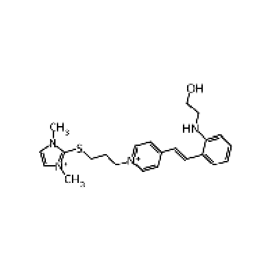 Cn1cc[n+](C)c1SCCC[n+]1ccc(/C=C/c2ccccc2NCCO)cc1